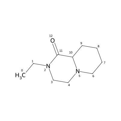 CCN1CCN2CCCCC2C1=O